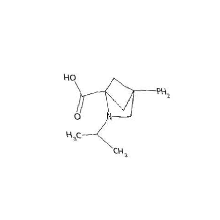 CC(C)N1CC2(P)CC1(C(=O)O)C2